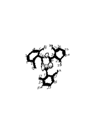 Cc1cccc(I)c1C1OC(c2c(C)cccc2I)OC(c2c(I)cccc2I)O1